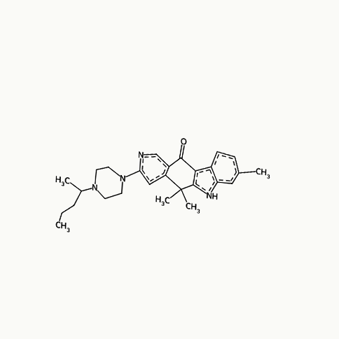 CCCC(C)N1CCN(c2cc3c(cn2)C(=O)c2c([nH]c4cc(C)ccc24)C3(C)C)CC1